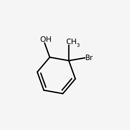 CC1(Br)C=CC=CC1O